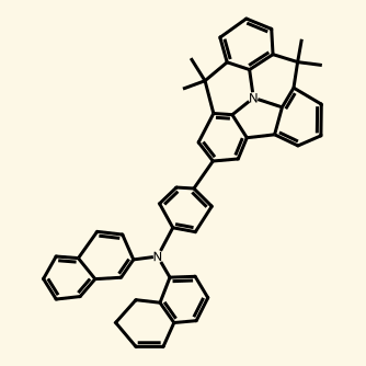 CC1(C)c2cccc3c2-n2c4c1cccc4c1cc(-c4ccc(N(c5ccc6ccccc6c5)c5cccc6c5CCC=C6)cc4)cc(c12)C3(C)C